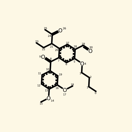 CCCCOc1cc(C(=O)c2ccc(OC)c(OC)c2)c(C(CC)C(C)=O)cc1C=O